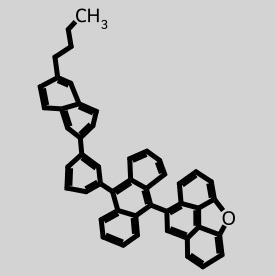 CCCCc1ccc2cc(-c3cccc(-c4c5ccccc5c(-c5cc6cccc7oc8cccc5c8c67)c5ccccc45)c3)ccc2c1